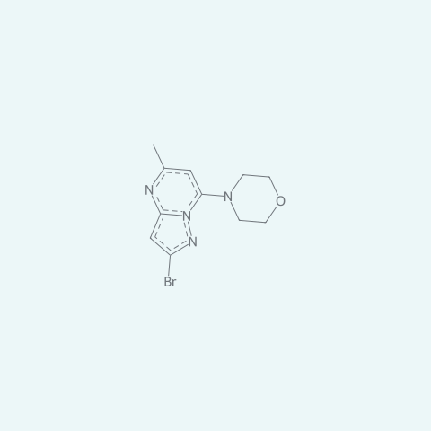 Cc1cc(N2CCOCC2)n2nc(Br)cc2n1